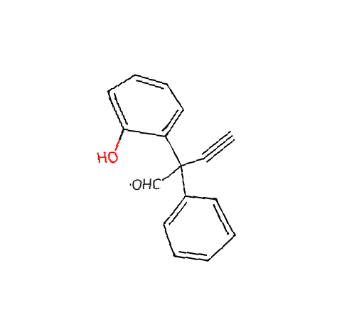 C#CC([C]=O)(c1ccccc1)c1ccccc1O